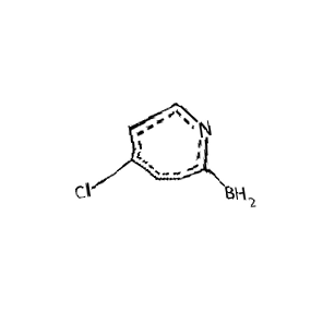 Bc1cc(Cl)ccn1